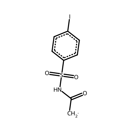 [CH2]C(=O)NS(=O)(=O)c1ccc(I)cc1